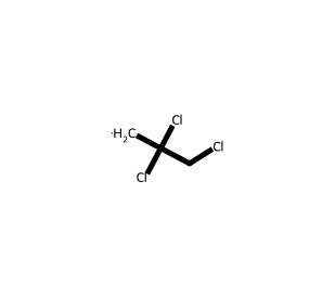 [CH2]C(Cl)(Cl)CCl